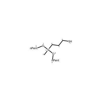 CCCCCO[Si](C)(CCCS)OCCCCC